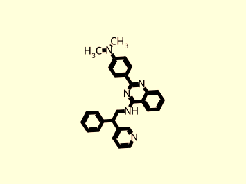 CN(C)c1ccc(-c2nc(NCC(c3ccccc3)c3cccnc3)c3ccccc3n2)cc1